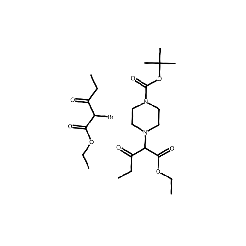 CCOC(=O)C(Br)C(=O)CC.CCOC(=O)C(C(=O)CC)N1CCN(C(=O)OC(C)(C)C)CC1